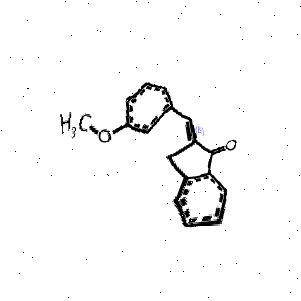 COc1cccc(/C=C2\Cc3ccccc3C2=O)c1